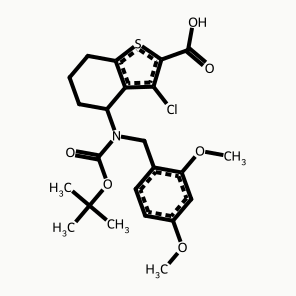 COc1ccc(CN(C(=O)OC(C)(C)C)C2CCCc3sc(C(=O)O)c(Cl)c32)c(OC)c1